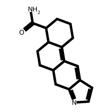 NC(=O)C1CCCC2=C3C=C4C=CN=C4CC3CCC21